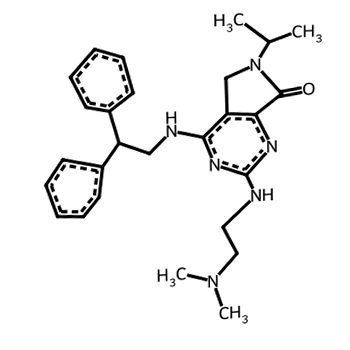 CC(C)N1Cc2c(NCC(c3ccccc3)c3ccccc3)nc(NCCN(C)C)nc2C1=O